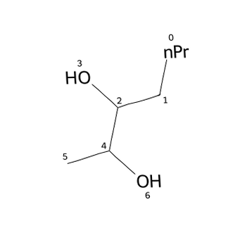 CCCCC(O)C(C)O